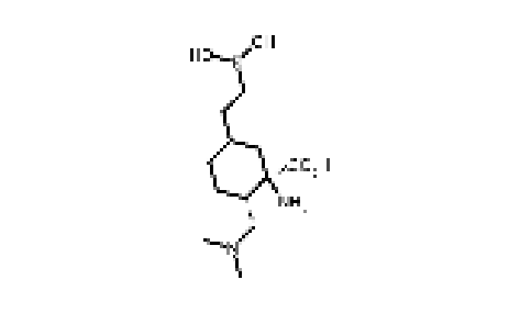 CN(C)C[C@@H]1CCC(CCB(O)O)C[C@]1(N)C(=O)O